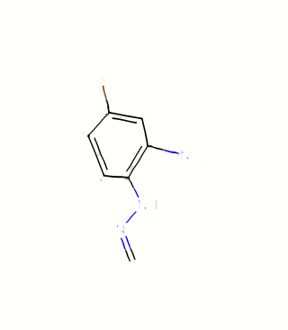 C=NNc1ccc(Br)cc1N